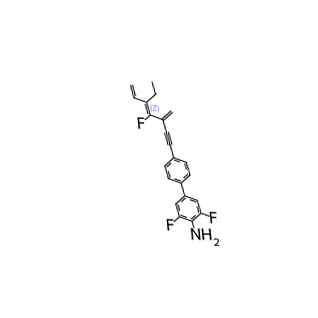 C=C/C(CC)=C(\F)C(=C)C#Cc1ccc(-c2cc(F)c(N)c(F)c2)cc1